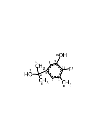 Cc1cc(C(C)(C)O)cc(O)c1I